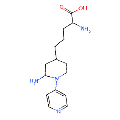 NC(CCCC1CCN(c2ccncc2)C(N)C1)C(=O)O